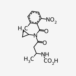 Cc1cccc([N+](=O)[O-])c1C(=O)N(C(=O)CC(C)NC(=O)O)C1CC1